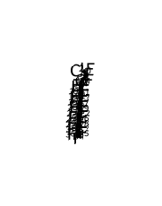 FC(Cl)=C(F)OC(F)(F)C(F)(F)C(F)(F)C(F)(F)C(F)(F)C(F)(F)C(F)(F)C(F)(F)C(F)(F)C(F)(F)F